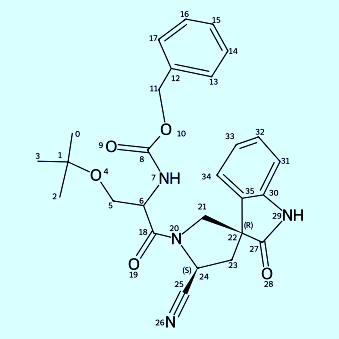 CC(C)(C)OCC(NC(=O)OCc1ccccc1)C(=O)N1C[C@]2(C[C@H]1C#N)C(=O)Nc1ccccc12